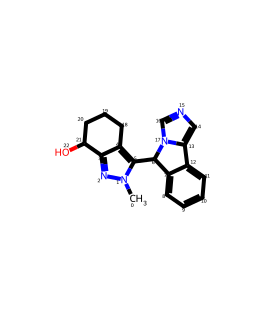 Cn1nc2c(c1C1c3ccccc3-c3cncn31)CCCC2O